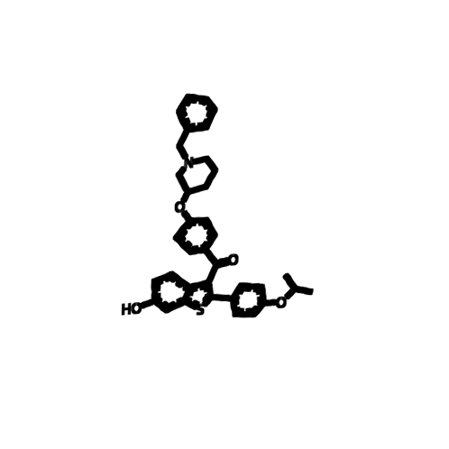 CC(C)Oc1ccc(-c2sc3cc(O)ccc3c2C(=O)c2ccc(OC3CCCN(Cc4ccccc4)C3)cc2)cc1